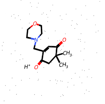 CC1(C)CC(=O)C(CN2CCOCC2)=CC1=O.[H+]